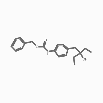 CCC(O)(CC)Cc1ccc(NC(=O)OCc2ccccc2)cc1